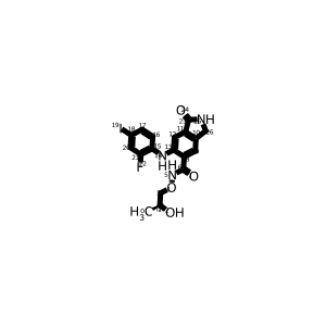 C[C@H](O)CONC(=O)c1cc2c(cc1Nc1ccc(I)cc1F)C(=O)NC2